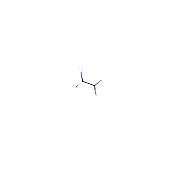 Cl.N[C@H](C(=O)O)C(O)Cl